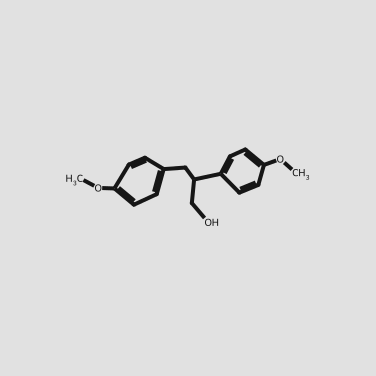 COc1ccc(CC(CO)c2ccc(OC)cc2)cc1